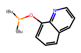 CC(C)(C)P(Oc1cccc2cccnc12)C(C)(C)C